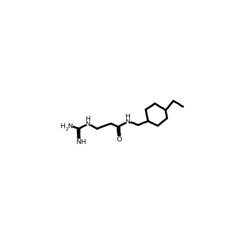 CCC1CCC(CNC(=O)CCNC(=N)N)CC1